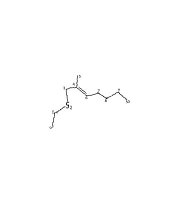 C[CH]SCC(C)=CCCCC